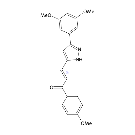 COc1ccc(C(=O)/C=C/c2cc(-c3cc(OC)cc(OC)c3)n[nH]2)cc1